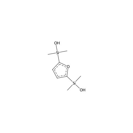 C[Si](C)(O)c1ccc([Si](C)(C)O)o1